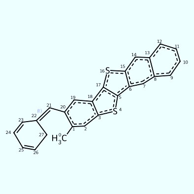 Cc1cc2sc3c4cc5ccccc5cc4sc3c2cc1/C=C1/C=CC=CC1